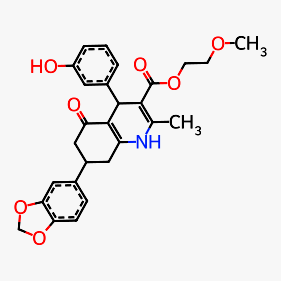 COCCOC(=O)C1=C(C)NC2=C(C(=O)CC(c3ccc4c(c3)OCO4)C2)C1c1cccc(O)c1